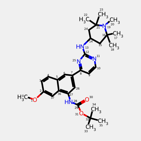 COc1ccc2cc(-c3ccnc(NC4CC(C)(C)N(C)C(C)(C)C4)n3)cc(NC(=O)OC(C)(C)C)c2c1